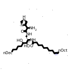 CCCCCCCC/C=C\CCCCCCCC(=O)N[C@@H](CNC(=O)C(N)c1c[nH]cn1)[C@H](O)[C@H](O)CCCCCCCCCCCCCC